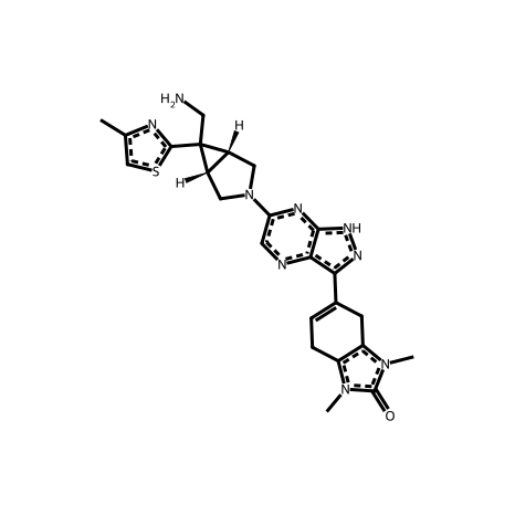 Cc1csc(C2(CN)[C@@H]3CN(c4cnc5c(C6=CCc7c(n(C)c(=O)n7C)C6)n[nH]c5n4)C[C@@H]32)n1